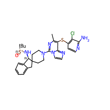 Cc1nc(N2CCC3(CC2)Cc2ccccc2[C@H]3N[S@+]([O-])C(C)(C)C)n2ccnc2c1Sc1ccnc(N)c1Cl